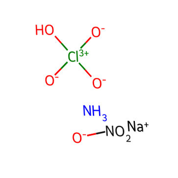 N.O=[N+]([O-])[O-].[Na+].[O-][Cl+3]([O-])([O-])O